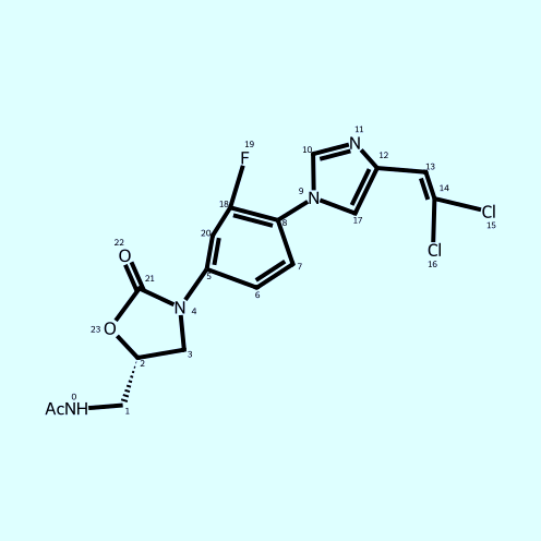 CC(=O)NC[C@H]1CN(c2ccc(-n3cnc(C=C(Cl)Cl)c3)c(F)c2)C(=O)O1